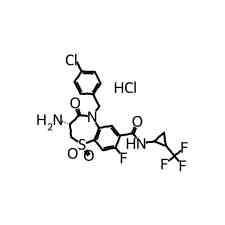 Cl.N[C@H]1CS(=O)(=O)c2cc(F)c(C(=O)NC3CC3C(F)(F)F)cc2N(Cc2ccc(Cl)cc2)C1=O